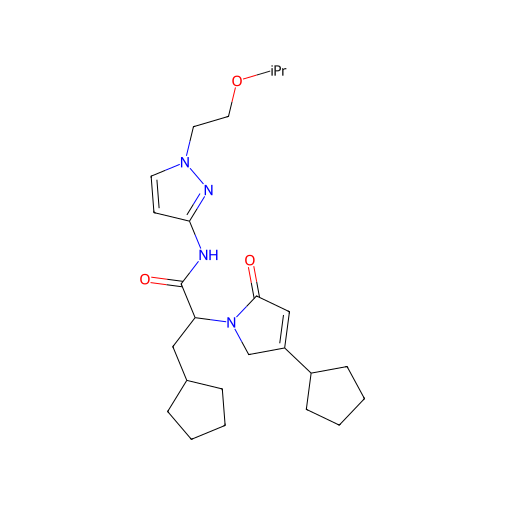 CC(C)OCCn1ccc(NC(=O)C(CC2CCCC2)N2CC(C3CCCC3)=CC2=O)n1